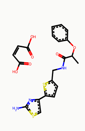 CC(Oc1ccccc1)C(=O)NCc1ccc(-c2csc(N)n2)s1.O=C(O)/C=C\C(=O)O